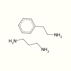 NCCCN.NCCc1ccccc1